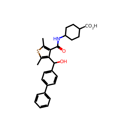 Cc1sc(C)c(C(O)c2ccc(-c3ccccc3)cc2)c1C(=O)NC1CCC(C(=O)O)CC1